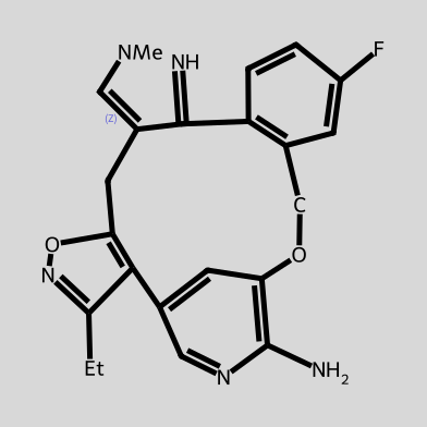 CCc1noc2c1-c1cnc(N)c(c1)OCc1cc(F)ccc1C(=N)/C(=C\NC)C2